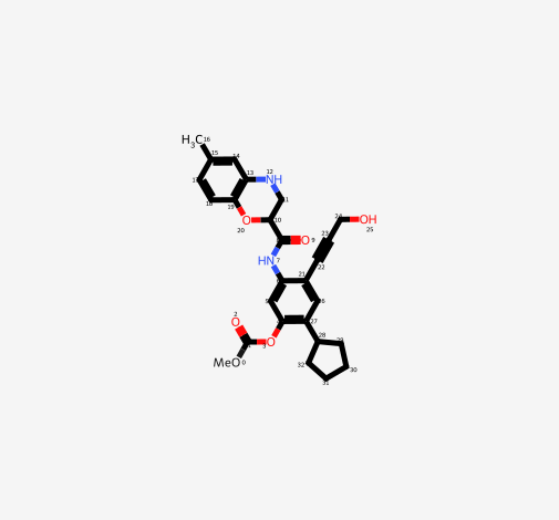 COC(=O)Oc1cc(NC(=O)C2CNc3cc(C)ccc3O2)c(C#CCO)cc1C1CCCC1